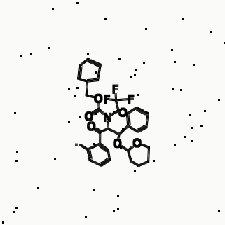 [CH2]c1ccccc1C(=O)C(C(OC1CCCCO1)c1ccccc1)N(C(=O)OCc1ccccc1)C(=O)C(F)(F)F